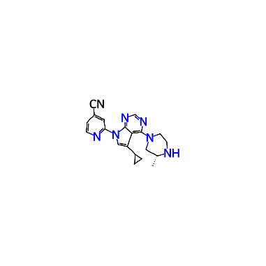 C[C@@H]1CN(c2ncnc3c2c(C2CC2)cn3-c2cc(C#N)ccn2)CCN1